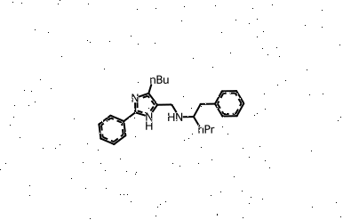 CCCCc1nc(-c2ccccc2)[nH]c1CNC(CCC)Cc1ccccc1